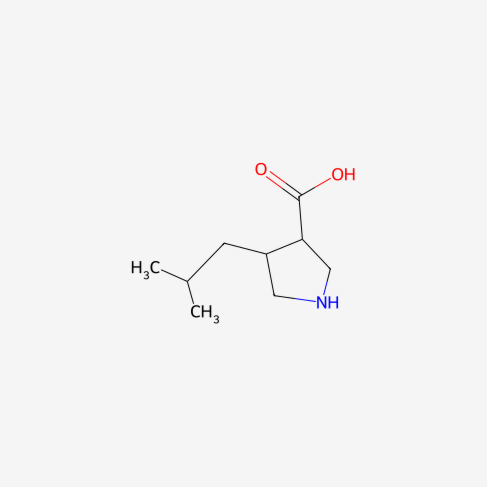 CC(C)CC1CNCC1C(=O)O